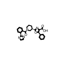 O=C(O)c1nc([C@@H]2CCCN(C(=O)c3ccccc3-n3nccn3)C2)oc1-c1ccccc1